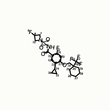 O=C(NS(=O)(=O)N1CC(F)C1)c1cc(C2CC2)c(OCC2(C(F)(F)F)CCCCC2)cc1F